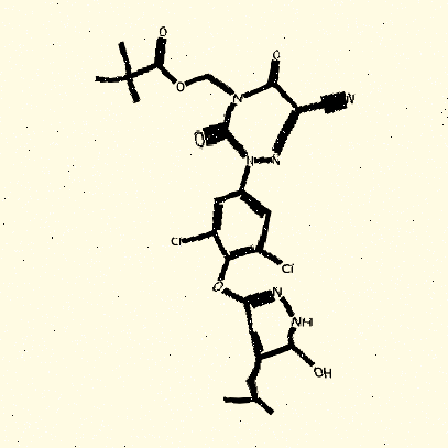 CC(C)C1=CC(Oc2c(Cl)cc(-n3nc(C#N)c(=O)n(COC(=O)C(C)(C)C)c3=O)cc2Cl)=NNC1O